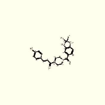 O=C(CCc1ccc(Br)cc1)N1CCN(C(=O)c2ccc3c(c2)OC(F)(F)O3)CC1